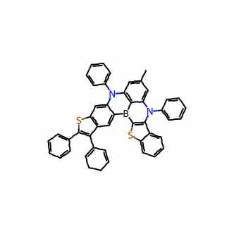 Cc1cc2c3c(c1)N(c1ccccc1)c1c(sc4ccccc14)B3c1cc3c(C4=CCCC=C4)c(-c4ccccc4)sc3cc1N2c1ccccc1